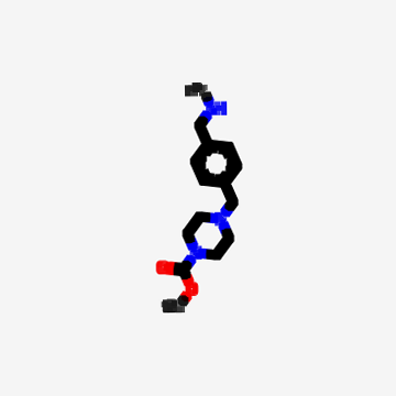 CCCNCc1ccc(CN2CCN(C(=O)OC(C)(C)C)CC2)cc1